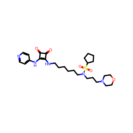 O=c1c(NCCCCCCN(CCCN2CCOCC2)S(=O)(=O)C2CCCC2)c(Nc2ccncc2)c1=O